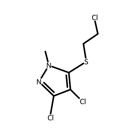 Cn1nc(Cl)c(Cl)c1SCCCl